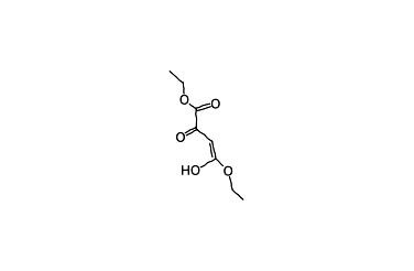 CCOC(=O)C(=O)/C=C(\O)OCC